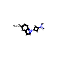 COc1ccc2c(ccn2[C@H]2C[C@H](N(C)C)C2)c1